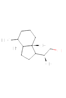 CC1CCC[C@]2(C)C([C@H](C)CO)CC[C@@H]12